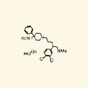 CNCC(CCCN1CCC(NC(C)=O)(c2ccccc2)CC1)c1ccc(Cl)c(Cl)c1.Cl.Cl